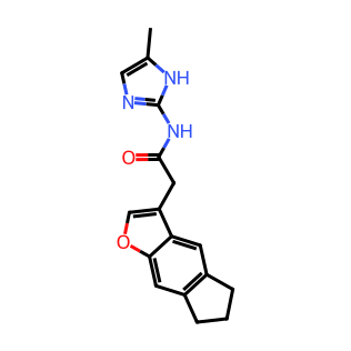 Cc1cnc(NC(=O)Cc2coc3cc4c(cc23)CCC4)[nH]1